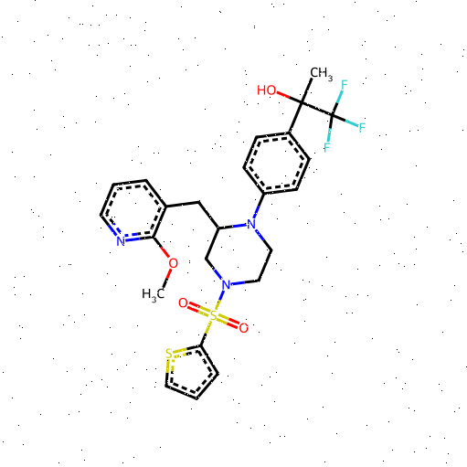 COc1ncccc1CC1CN(S(=O)(=O)c2cccs2)CCN1c1ccc(C(C)(O)C(F)(F)F)cc1